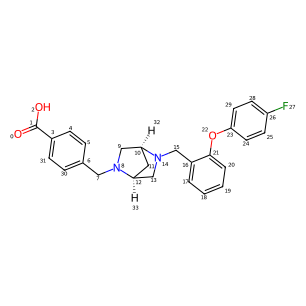 O=C(O)c1ccc(CN2C[C@@H]3C[C@H]2CN3Cc2ccccc2Oc2ccc(F)cc2)cc1